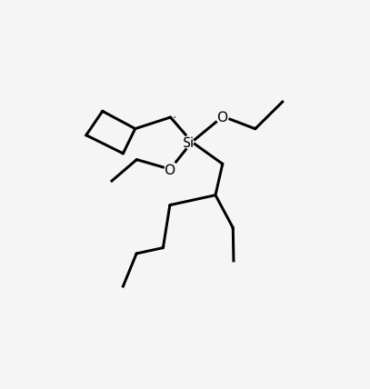 CCCCC(CC)C[Si]([CH]C1CCC1)(OCC)OCC